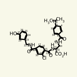 CN(C)c1ccc(C(=O)NC[C@H](NC(=O)c2ccc(C(=O)NCc3cccc(O)c3)cc2Cl)C(=O)O)cc1